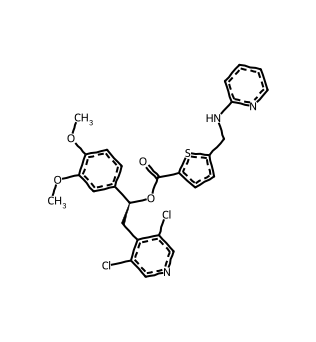 COc1ccc([C@H](Cc2c(Cl)cncc2Cl)OC(=O)c2ccc(CNc3ccccn3)s2)cc1OC